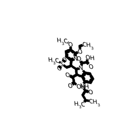 CCOc1nc(C(CS(C)(=O)=O)C2C(C(=O)C(=O)O)c3c(NC(=O)CC(C)C)cccc3N2C(=O)C(=O)O)ccc1OC